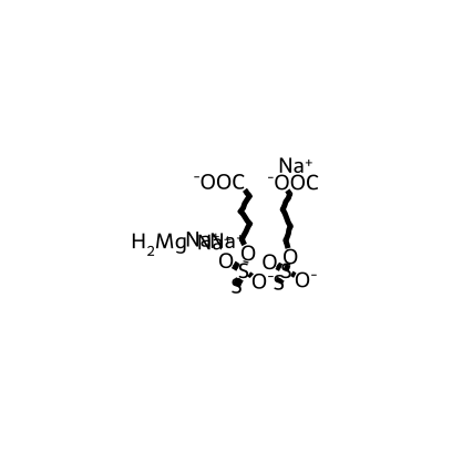 O=C([O-])CCCCOS(=O)([O-])=S.O=C([O-])CCCCOS(=O)([O-])=S.[MgH2].[Na+].[Na+].[Na+].[Na+]